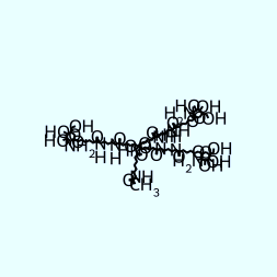 CC(=O)NCCCCCC(=O)NC(COCCC(=O)NCCCNC(=O)CCCCOC1OC(CO)C(O)C(O)C1N)(COCCC(=O)NCCCNC(=O)CCCCOC1OC(CO)C(O)C(O)C1N)COCCC(=O)NCCCNC(=O)CCCCOC1OC(CO)C(O)C(O)C1N